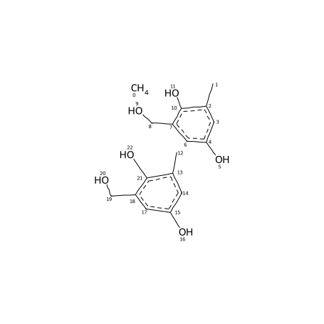 C.Cc1cc(O)cc(CO)c1O.Cc1cc(O)cc(CO)c1O